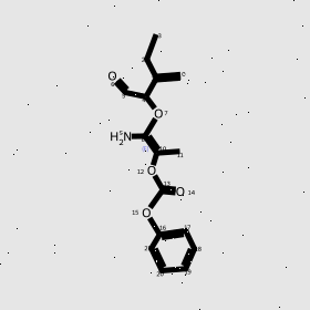 C=C(CC)C(C=O)O/C(N)=C(\C)OC(=O)Oc1ccccc1